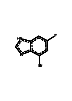 Fc1cc(Br)c2nc[nH]c2c1